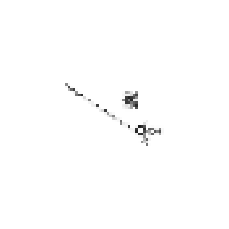 CCCCCCCCCCCCCCCCCCc1cc(C)c(O)c(C(C)(C)C)c1.CP(=O)(O)O